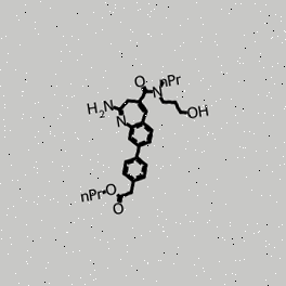 CCCOC(=O)Cc1ccc(-c2ccc3c(c2)N=C(N)CC(C(=O)N(CCC)CCCO)=C3)cc1